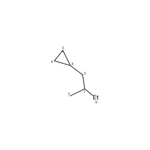 CCC(C)CC1[CH]C1